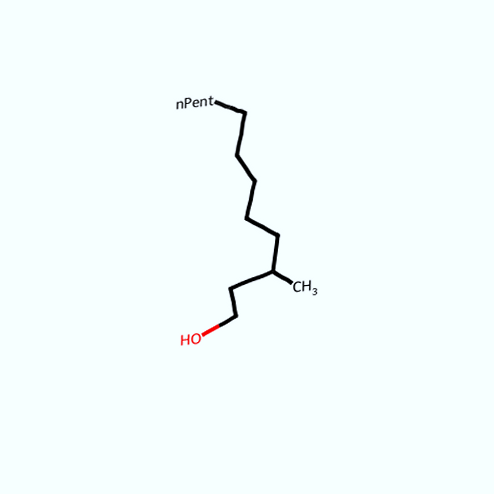 CCCCCCCCCCC(C)CCO